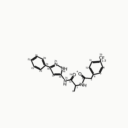 CC(NC(=O)Cc1ccc(C(F)(F)F)cc1)C(=O)Nc1cc(-c2ccccc2)n[nH]1